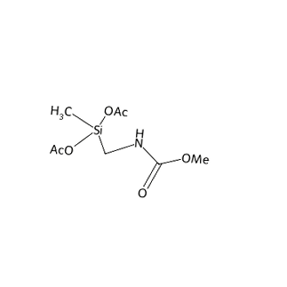 COC(=O)NC[Si](C)(OC(C)=O)OC(C)=O